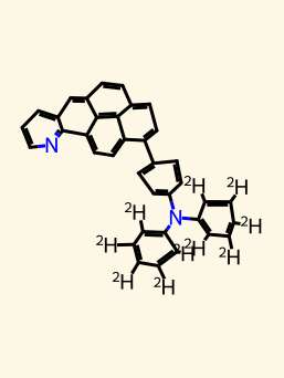 [2H]c1c([2H])c([2H])c(N(c2ccc(-c3ccc4ccc5cc6cccnc6c6ccc3c4c56)cc2)c2c([2H])c([2H])c([2H])c([2H])c2[2H])c([2H])c1[2H]